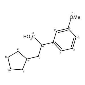 COc1cccc(C(CC2CCCC2)C(=O)O)c1